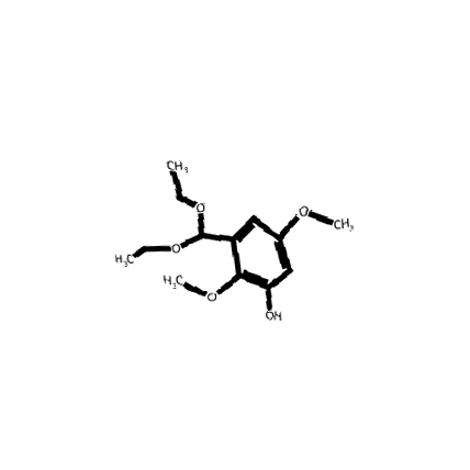 CCOC(OCC)c1cc(OC)cc(O)c1OC